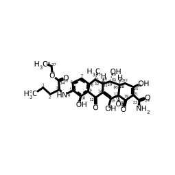 CCCC(Nc1ccc2c(c1O)C(=O)C1=C(O)[C@]3(O)C(=O)C(C(N)=O)=C(O)C[C@@H]3[C@@H](O)[C@@H]1[C@H]2C)C(=O)OCC